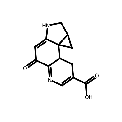 O=C(O)C1=CN=C2C(=O)C=C3NCC4CC34C2C1